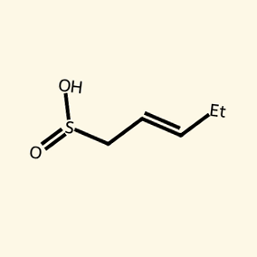 CCC=CCS(=O)O